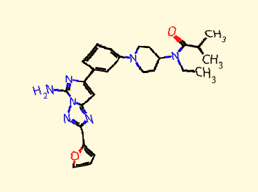 CCN(C(=O)C(C)C)C1CCN(c2cccc(-c3cc4nc(-c5ccco5)nn4c(N)n3)c2)CC1